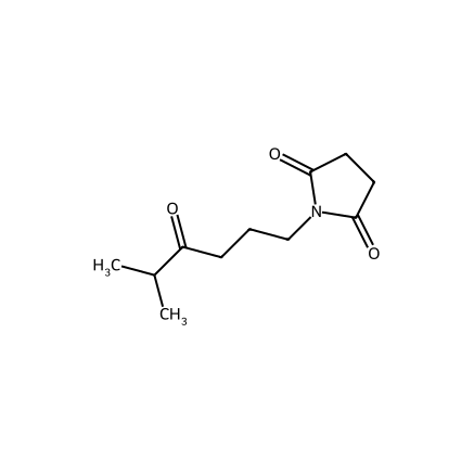 CC(C)C(=O)CCCN1C(=O)CCC1=O